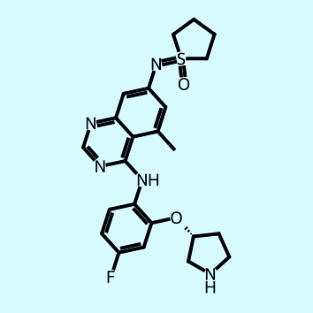 Cc1cc(N=S2(=O)CCCC2)cc2ncnc(Nc3ccc(F)cc3O[C@@H]3CCNC3)c12